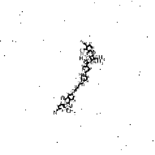 COc1nc(C#N)ccc1N1C(=O)c2ccc(OCCCCCN3CCN(c4ccc(C(=O)N[C@H]5C(C)(C)[C@H](Oc6ccc(C#N)c(Cl)c6)C5(C)C)cn4)CC3)cc2C1=O